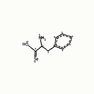 NC(Cc1ccccc1)C(O)=[Se]